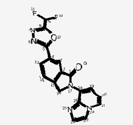 O=C1c2cc(-c3nnc(C(F)F)o3)ccc2CN1c1cccn2ccnc12